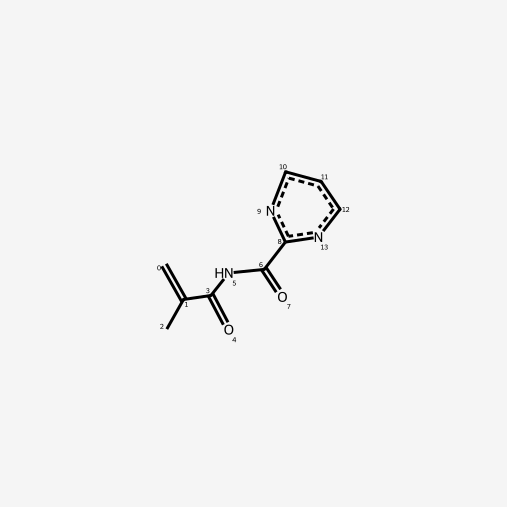 C=C(C)C(=O)NC(=O)c1ncccn1